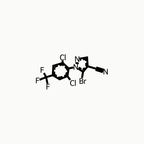 N#Cc1cnn(-c2c(Cl)cc(C(F)(F)F)cc2Cl)c1Br